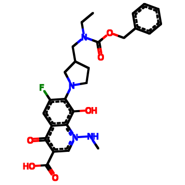 CCN(CC1CCN(c2c(F)cc3c(=O)c(C(=O)O)cn(NC)c3c2O)C1)C(=O)OCc1ccccc1